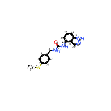 O=C(NCc1ccc(SC(F)(F)F)cc1)Nc1cccc2[nH]ncc12